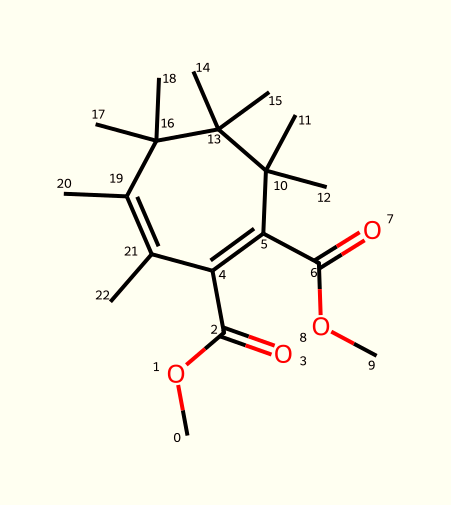 COC(=O)C1=C(C(=O)OC)C(C)(C)C(C)(C)C(C)(C)C(C)=C1C